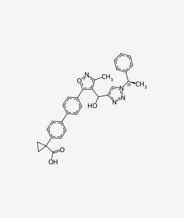 Cc1noc(-c2ccc(-c3ccc(C4(C(=O)O)CC4)cc3)cc2)c1C(O)c1cn([C@H](C)c2ccccc2)nn1